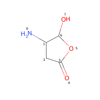 NC1CC(=O)OC1O